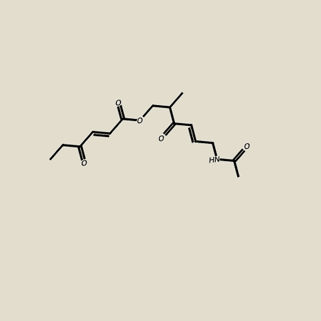 CCC(=O)/C=C/C(=O)OCC(C)C(=O)/C=C/CNC(C)=O